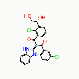 O=C(C(C(=O)c1cccc([C@@H](O)CO)c1Cl)=C1Nc2ccccc2N1)c1cccc(Cl)c1